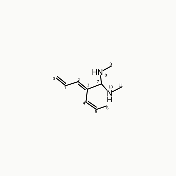 C=C/C=C(\C=C/C)C(NC)NC